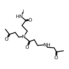 CC(=O)CCNCCC(=O)N(CCC(C)=O)CCC(=O)NI